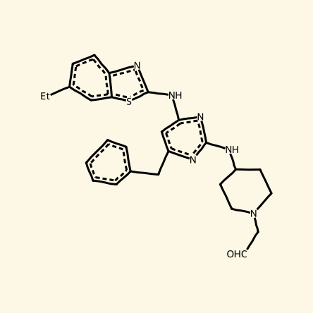 CCc1ccc2nc(Nc3cc(Cc4ccccc4)nc(NC4CCN(CC=O)CC4)n3)sc2c1